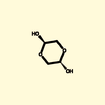 O[C@@H]1CO[C@@H](O)CO1